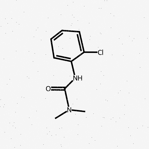 CN(C)C(=O)Nc1ccccc1Cl